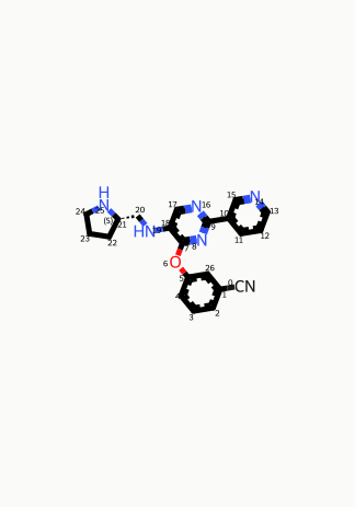 N#Cc1cccc(Oc2nc(-c3cccnc3)ncc2NC[C@@H]2CCCN2)c1